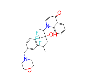 CC(CC(O)(C(C)n1ccc(=O)c2ccccc21)C(F)(F)F)c1cccc(CN2CCOCC2)c1